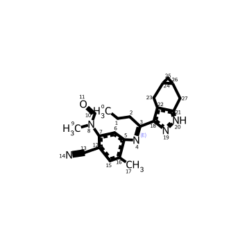 CCC/C(=N\c1cc(N(C)C=O)c(C#N)cc1C)c1n[nH]c2c1CC1CC1C2